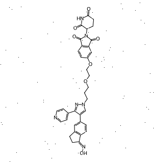 O=C1CCC(N2C(=O)c3ccc(OCCOCCCn4cc(-c5ccc6c(c5)CC/C6=N\O)c(-c5ccncc5)n4)cc3C2=O)C(=O)N1